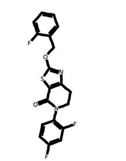 O=C1c2sc(OCc3ccccc3F)nc2CCN1c1ccc(F)cc1F